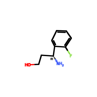 N[C@H](CCO)c1ccccc1F